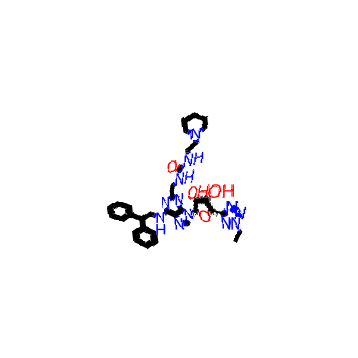 CCn1nnc([C@H]2O[C@@H](n3cnc4c(NCC(c5ccccc5)c5ccccc5)nc(CNC(=O)NCCN5CCCCC5)nc43)[C@H](O)[C@@H]2O)n1